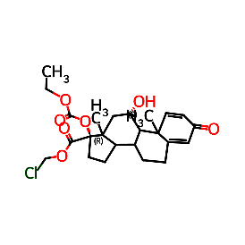 CCOC(=O)O[C@]1(C(=O)OCCl)CCC2C3CCC4=CC(=O)C=CC4(C)C3[C@@H](O)CC21C